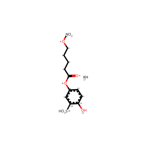 O=C(CCCCO[N+](=O)[O-])Oc1ccc(O)c(S(=O)(=O)O)c1.[KH]